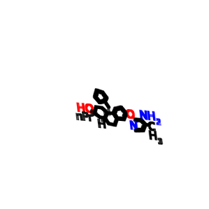 CCC[C@@]1(O)CC[C@@]2(Cc3ccccc3)c3ccc(Oc4nccc(C)c4N)cc3CC[C@@H]2C1